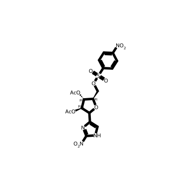 CC(=O)O[C@H]1[C@H](OC(C)=O)C(c2c[nH]c([N+](=O)[O-])n2)O[C@@H]1COS(=O)(=O)c1ccc([N+](=O)[O-])cc1